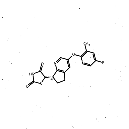 Cc1cc(F)ccc1Oc1cnc2c(c1)CC[C@H]2C1SC(=O)NC1=O